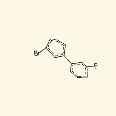 Fc1cccc(-c2cccc(Br)c2)c1